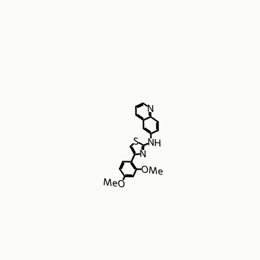 COc1ccc(-c2csc(Nc3ccc4ncccc4c3)n2)c(OC)c1